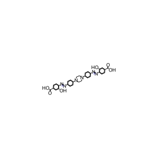 O=C(O)c1ccc(/N=N/c2ccc(N3CCN(c4ccc(/N=N/c5ccc(C(=O)O)cc5O)cc4)CC3)cc2)c(O)c1